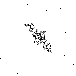 CC(C)(C)[Si](C)(C)O[C@H]1[C@H]2OP(=O)(S)OC[C@H]3O[C@H](n4cnc5c(N)ncnc54)C(F)[C@@H]3OP(=O)(S)OC[C@H]1O[C@H]2n1cnc2c(N)ncnc21